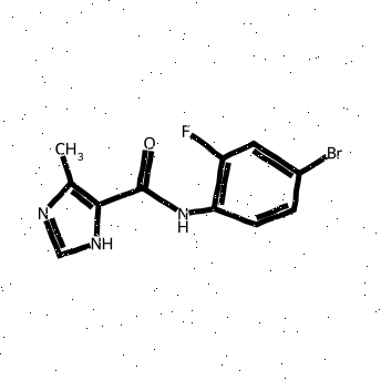 Cc1nc[nH]c1C(=O)Nc1ccc(Br)cc1F